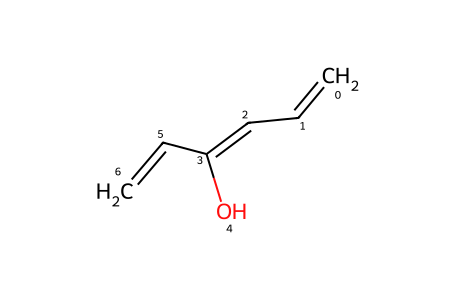 C=CC=C(O)C=C